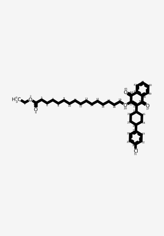 CCOC(=O)CCCCCCCCCCCCCCCOC1=C(C2CCC(c3ccc(Cl)cc3)CC2)C(=O)c2ccccc2C1=O